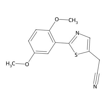 COc1ccc(OC)c(-c2ncc(CC#N)s2)c1